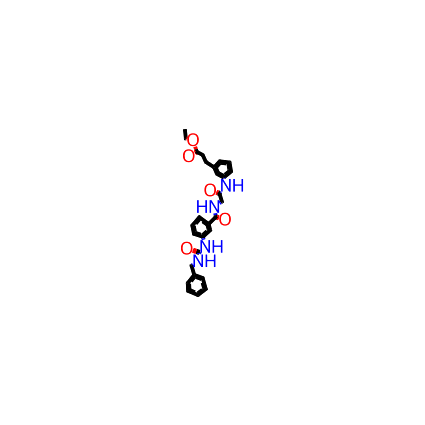 CCOC(=O)CCc1cccc(NC(=O)CNC(=O)c2cccc(NC(=O)NCc3ccccc3)c2)c1